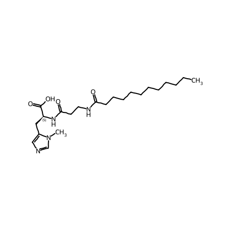 CCCCCCCCCCCC(=O)NCCC(=O)N[C@@H](Cc1cncn1C)C(=O)O